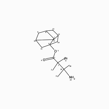 CC(C)C(C)(C(=O)OC12CC3CC(CC(C3)C1)C2)C(C)(C)N